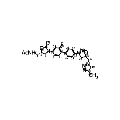 CC(=O)NC[C@H]1CN(c2ccc(-c3ccc(C4=NOC(CN5CC(C)N=N5)C4)cc3)c(F)c2)C(=O)O1